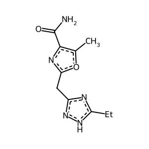 CCc1nc(Cc2nc(C(N)=O)c(C)o2)n[nH]1